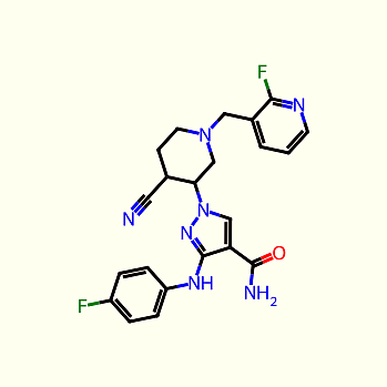 N#CC1CCN(Cc2cccnc2F)CC1n1cc(C(N)=O)c(Nc2ccc(F)cc2)n1